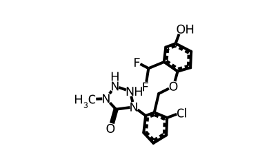 CN1NNN(c2cccc(Cl)c2COc2ccc(O)cc2C(F)F)C1=O